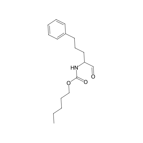 CCCCCOC(=O)NC(C=O)CCCc1ccccc1